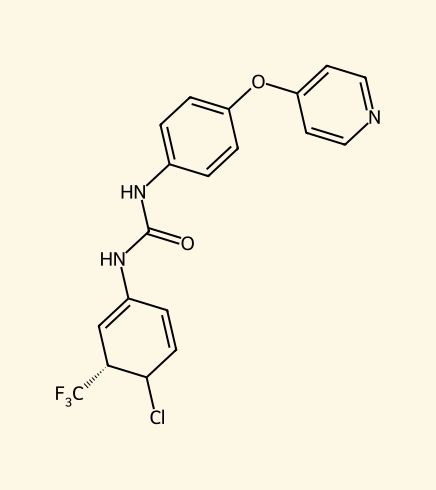 O=C(NC1=C[C@@H](C(F)(F)F)C(Cl)C=C1)Nc1ccc(Oc2ccncc2)cc1